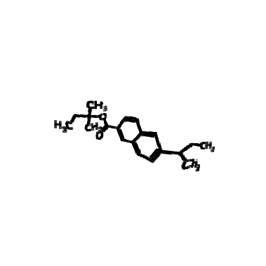 CCC(C)c1ccc2cc(C(=O)OC(C)(C)CC)ccc2c1